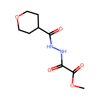 COC(=O)C(=O)NNC(=O)C1CCOCC1